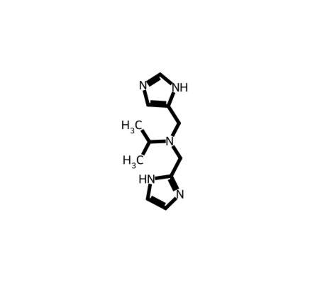 CC(C)N(Cc1cnc[nH]1)Cc1ncc[nH]1